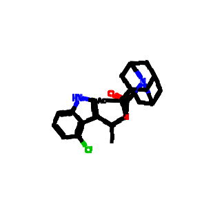 CC(=O)C(C)C12CC3CC(C1)N(C(=O)CC(C)c1c[nH]c4cccc(Cl)c14)C(C3)C2